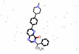 CN1CCC(c2ccc(-c3ccc4ncn(C(C(=O)O)c5ccccc5)c(=O)c4n3)cc2)CC1